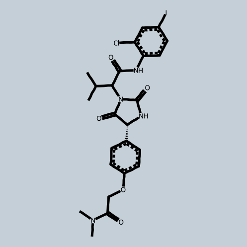 CC(C)C(C(=O)Nc1ccc(I)cc1Cl)N1C(=O)N[C@H](c2ccc(OCC(=O)N(C)C)cc2)C1=O